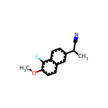 COc1ccc2cc(C(C)C#N)ccc2c1F